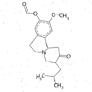 COc1cc2c(cc1OC=O)CCN1CC(CC(C)C)C(=O)CC21